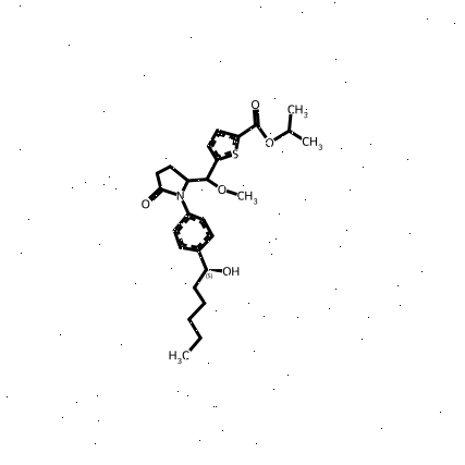 CCCCC[C@H](O)c1ccc(N2C(=O)CCC2C(OC)c2ccc(C(=O)OC(C)C)s2)cc1